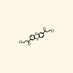 O=C(CCCl)c1ccc2c(c1)Oc1ccc(C(=O)CCCl)cc1S2